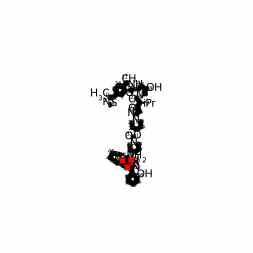 Cc1ncsc1-c1ccc([C@H](C)NC(=O)[C@@H]2C[C@@H](O)CN2C(=O)[C@H](c2cc(N3CCC(OC(=O)N4CCC(Oc5cc(N6C7CCC6CN(c6cc(-c8ccccc8O)nnc6N)C7)ccn5)CC4)CC3)no2)C(C)C)cc1